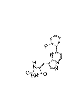 O=C1NC(=O)C(=Cc2cnn3ccc(-c4ccccc4F)nc23)N1